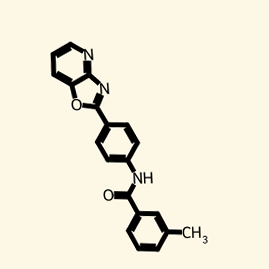 Cc1cccc(C(=O)Nc2ccc(-c3nc4ncccc4o3)cc2)c1